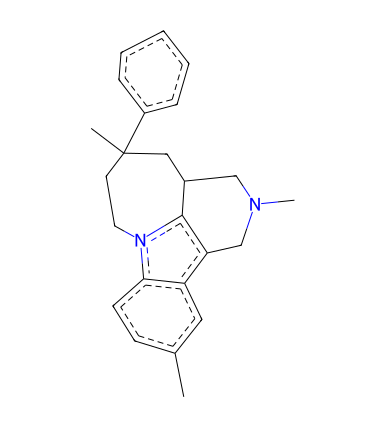 Cc1ccc2c(c1)c1c3n2CCC(C)(c2ccccc2)CC3CN(C)C1